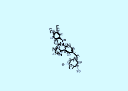 C[C@@H]1CN(Cc2cnc3c(c2)-c2ncnn2CN3Cc2cc(F)c(F)cc2Cl)C[C@H](C)O1